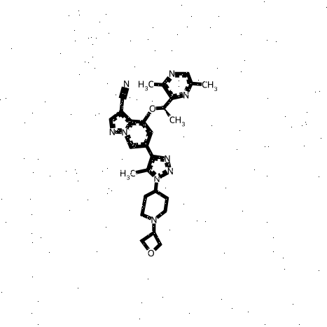 Cc1cnc(C)c([C@@H](C)Oc2cc(-c3nnn(C4CCN(C5COC5)CC4)c3C)cn3ncc(C#N)c23)n1